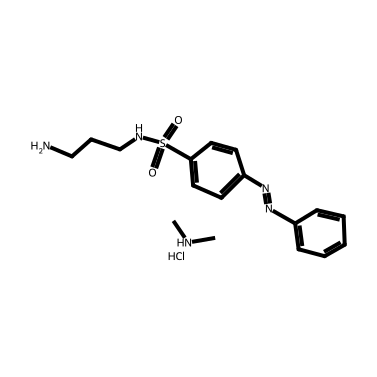 CNC.Cl.NCCCNS(=O)(=O)c1ccc(N=Nc2ccccc2)cc1